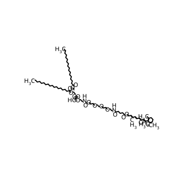 CCCCCCCCCCCCCCCCCC(=O)OC[C@H](COP(=O)(O)OCCNC(=O)OCCOCCOCCOCCNC(=O)CCCC(=O)OC/C=C(C)/C=C/C=C(C)/C=C/C1=C(C)CCCC1(C)C)OC(=O)CCCCCCCCCCCCCCCCC